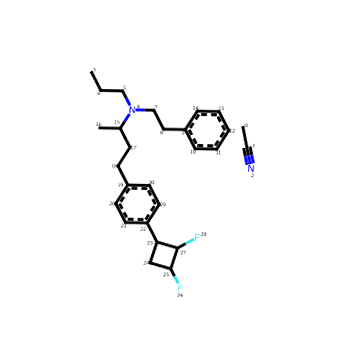 CC#N.CCCN(CCc1ccccc1)C(C)CCc1ccc(C2CC(F)C2F)cc1